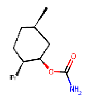 CC(C)[C@H]1CC[C@@H](C)C[C@H]1OC(N)=O